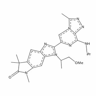 COCC(C)n1c(-c2cn3c(C)nnc3c(NC(C)C)n2)nc2cc3c(cc21)N(C)C(=O)C3(C)C